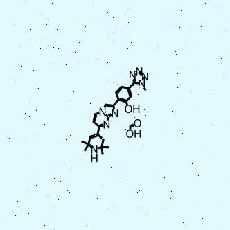 Cn1nnnc1-c1ccc(-c2cn3ccc(C4=CC(C)(C)NC(C)(C)C4)nc3n2)c(O)c1.O=CO